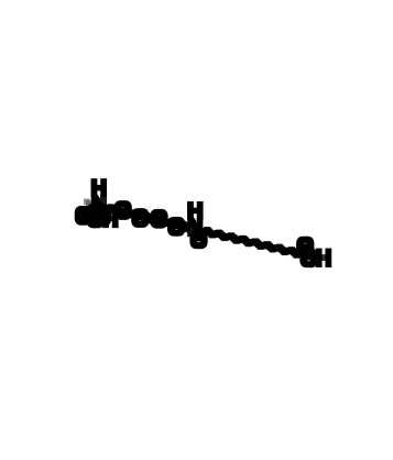 C[C@H](NC(=O)CCOCCOCCOCCOCCNC(=O)CCCCCCCCCCCCCCCCC(=O)O)C(=O)O